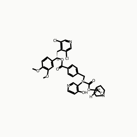 COc1ccc([C@H](Cc2c(Cl)cncc2Cl)OC(=O)c2ccc(CN(C(=O)O[C@H]3CN4CCC3CC4)c3cnccc3O)cc2)cc1OC